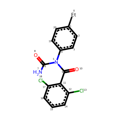 CCc1ccc(N(C(N)=O)C(=O)c2c(Cl)cccc2Cl)cc1